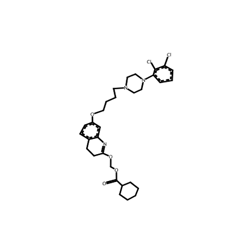 O=C(OCOC1=Nc2cc(OCCCCN3CCN(c4cccc(Cl)c4Cl)CC3)ccc2CC1)C1CCCCC1